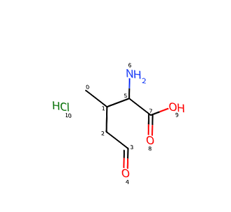 CC(CC=O)C(N)C(=O)O.Cl